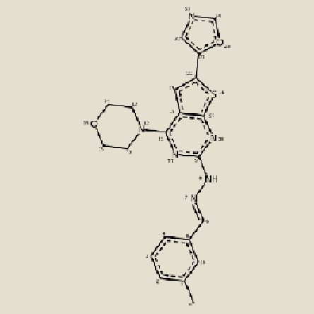 Cc1cccc(/C=N/Nc2nc(N3CCOCC3)c3cc(-c4cnco4)sc3n2)c1